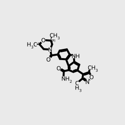 Cc1noc(C)c1-c1cc(C(N)=O)c2c(c1)[nH]c1ccc(C(=O)N3C[C@@H](C)O[C@@H](C)C3)cc12